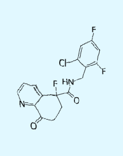 O=C1CCC(F)(C(=O)NCc2c(F)cc(F)cc2Cl)c2cccnc21